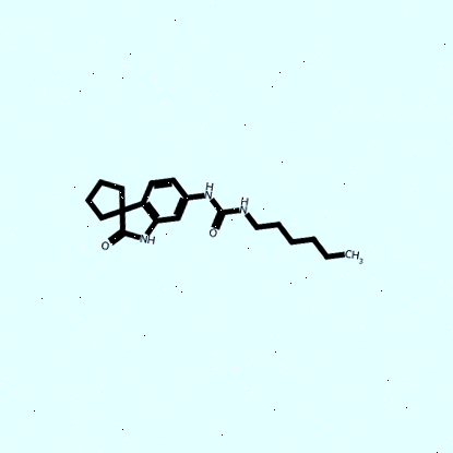 CCCCCCNC(=O)Nc1ccc2c(c1)NC(=O)C21CCCC1